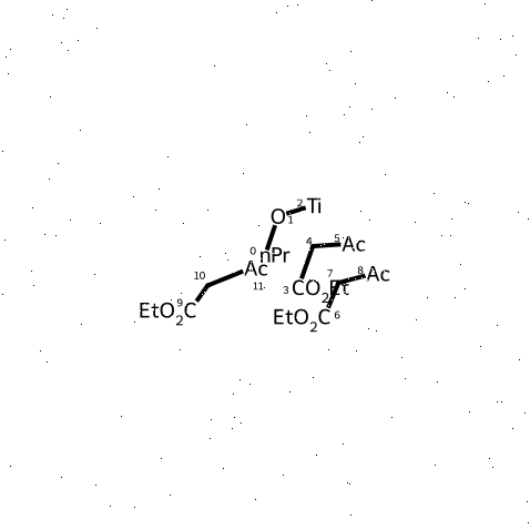 CCC[O][Ti].CCOC(=O)CC(C)=O.CCOC(=O)CC(C)=O.CCOC(=O)CC(C)=O